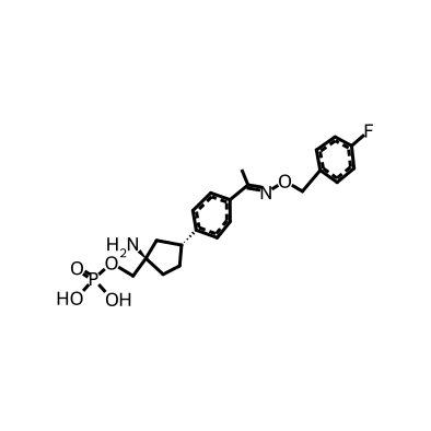 C/C(=N\OCc1ccc(F)cc1)c1ccc([C@@H]2CC[C@](N)(COP(=O)(O)O)C2)cc1